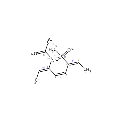 C\C=C(/C=C\C(=C/C)S(C)(=O)=O)NC(=O)C(F)(F)F